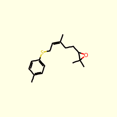 CC(=CCSc1ccc(C)cc1)CCC1OC1(C)C